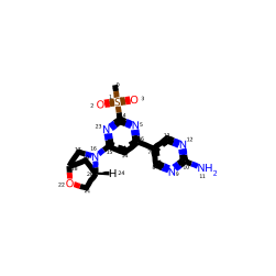 CS(=O)(=O)c1nc(-c2cnc(N)nc2)cc(N2CC3C[C@H]2CO3)n1